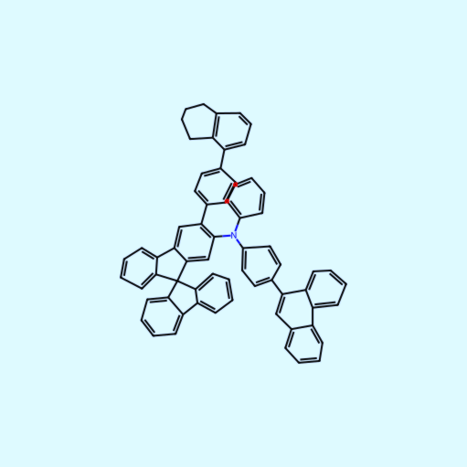 c1ccc(N(c2ccc(-c3cc4ccccc4c4ccccc34)cc2)c2cc3c(cc2-c2ccc(-c4cccc5c4CCCC5)cc2)-c2ccccc2C32c3ccccc3-c3ccccc32)cc1